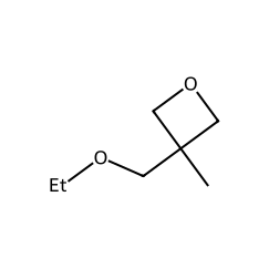 CCOCC1(C)COC1